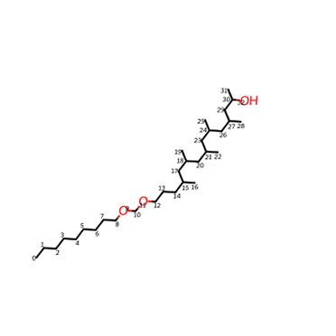 CCCCCCCCCOCOCCCC(C)CC(C)CC(C)CC(C)CC(C)CC(C)O